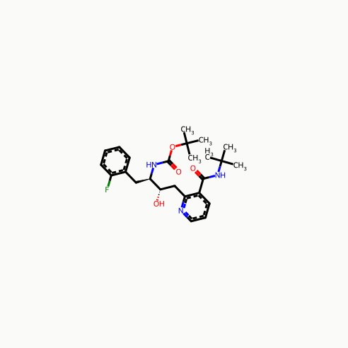 CC(C)(C)NC(=O)c1cccnc1C[C@H](O)[C@@H](Cc1ccccc1F)NC(=O)OC(C)(C)C